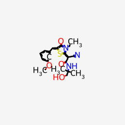 CCn1c(=O)c(=Cc2cccc(OC)c2)s/c1=C(/C#N)C(=O)NC(C)(C)CO